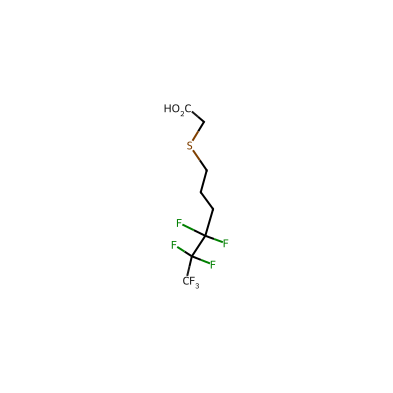 O=C(O)CSCCCC(F)(F)C(F)(F)C(F)(F)F